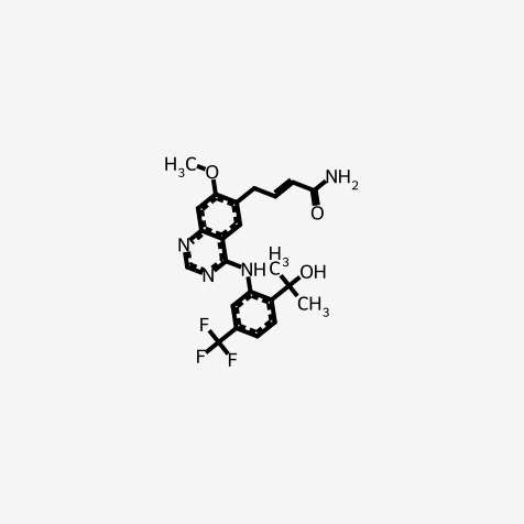 COc1cc2ncnc(Nc3cc(C(F)(F)F)ccc3C(C)(C)O)c2cc1CC=CC(N)=O